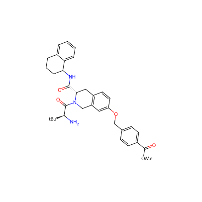 COC(=O)c1ccc(COc2ccc3c(c2)CN(C(=O)[C@@H](N)C(C)(C)C)[C@H](C(=O)NC2CCCc4ccccc42)C3)cc1